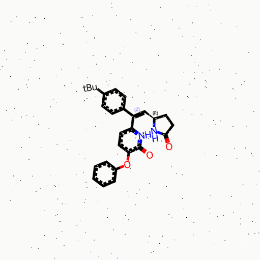 CC(C)(C)c1ccc(/C(=C/[C@H]2CCC(=O)N2)c2ccc(Oc3ccccc3)c(=O)[nH]2)cc1